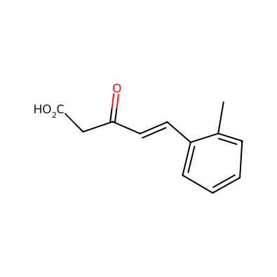 Cc1ccccc1/C=C/C(=O)CC(=O)O